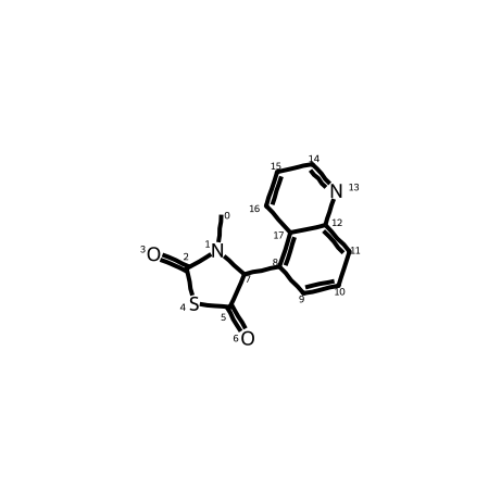 CN1C(=O)SC(=O)C1c1cccc2ncccc12